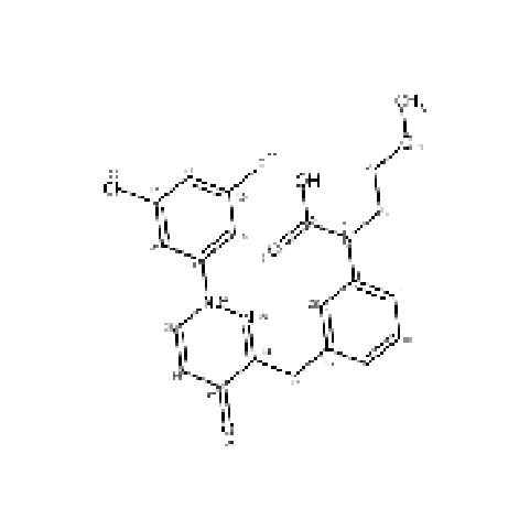 COCCN(C(=O)O)c1cccc(Cc2nn(-c3cc(F)cc(Cl)c3)ccc2=O)c1